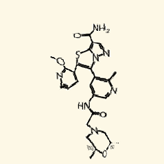 COc1ncccc1-c1sc2c(C(N)=O)cnn2c1-c1cc(NC(=O)CN2C[C@H](C)O[C@@H](C)C2)cnc1C